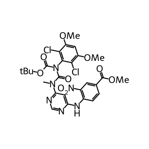 COC(=O)c1ccc(Nc2cc(N(C)C(=O)N(C(=O)OC(C)(C)C)c3c(Cl)c(OC)cc(OC)c3Cl)ncn2)c([N+](=O)[O-])c1